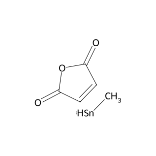 O=C1C=CC(=O)O1.[CH3][SnH]